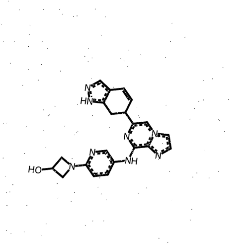 OC1CN(c2ccc(Nc3nc(C4C=Cc5cn[nH]c5C4)cn4ccnc34)cn2)C1